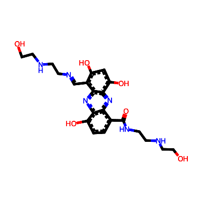 O=C(NCCNCCO)c1ccc(O)c2nc3c(C=NCCNCCO)c(O)cc(O)c3nc12